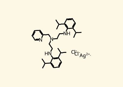 CC(C)c1cccc(C(C)C)c1NCCN(CCNc1c(C(C)C)cccc1C(C)C)Cc1ccccn1.[Ag+2].[Cl-].[Cl-]